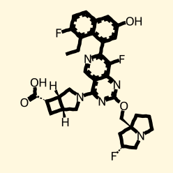 CCc1c(F)ccc2cc(O)cc(-c3ncc4c(N5C[C@@H]6C[C@H](C(=O)O)[C@@H]6C5)nc(OC[C@@]56CCCN5C[C@H](F)C6)nc4c3F)c12